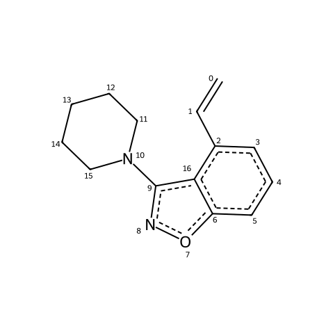 C=Cc1cccc2onc(N3CCCCC3)c12